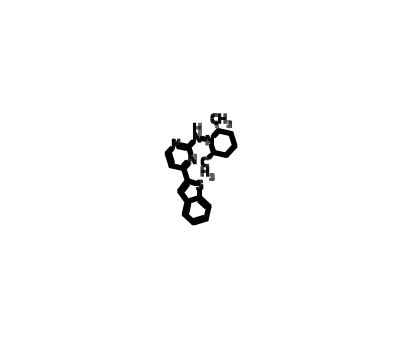 C[C@@H]1CCC[C@@H](C)N1Nc1nccc(-c2cc3ccccc3s2)n1